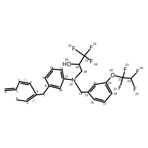 C=C/C=C\C(=C/C)Cc1cccc(N(Cc2cccc(OC(F)(F)C(F)F)c2)CC(O)C(F)(F)F)c1